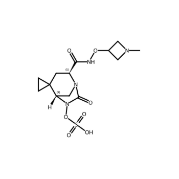 CN1CC(ONC(=O)[C@@H]2CC3(CC3)[C@@H]3CN2C(=O)N3OS(=O)(=O)O)C1